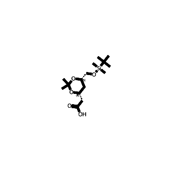 CC1(C)O[C@H](CO[Si](C)(C)C(C)(C)C)C[C@H](CC(=O)O)O1